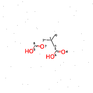 CC(C)C.O=CO.O=CO